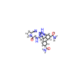 CN(C)C(=O)c1ccc2c(c1)-c1cc(C(=O)N(C)C)ccc1C2(CCNCC(=O)N1CCC[C@H]1C#N)c1nn[nH]n1